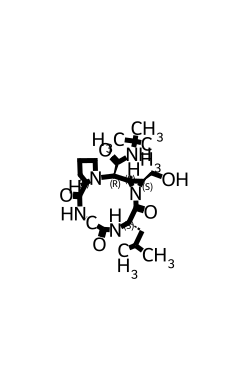 CC(C)C[C@@H]1NC(=O)CNC(=O)[C@@H]2CCCN2[C@@H](C(=O)NC(C)(C)C)[C@@H]2[C@@H](CO)N2C1=O